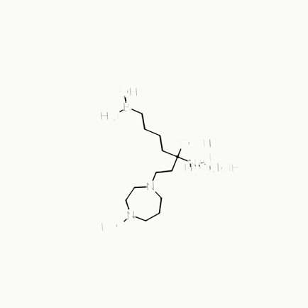 CN1CCCN(CCC(N)(CCCCB(O)O)C(=O)O)CC1.Cl.Cl.O